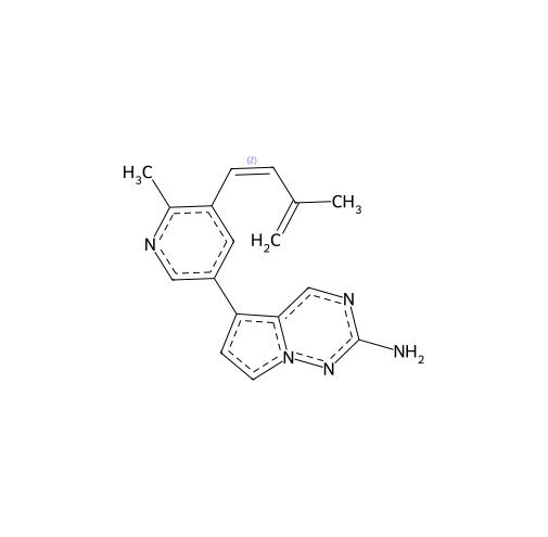 C=C(C)/C=C\c1cc(-c2ccn3nc(N)ncc23)cnc1C